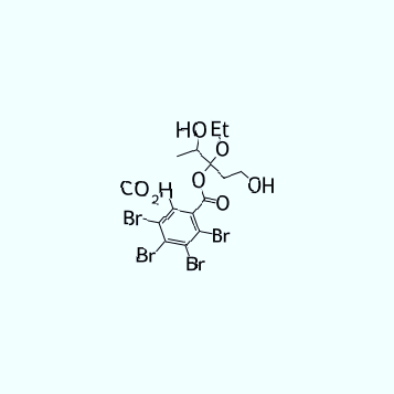 CCOC(CCO)(OC(=O)c1c(Br)c(Br)c(Br)c(Br)c1C(=O)O)C(C)O